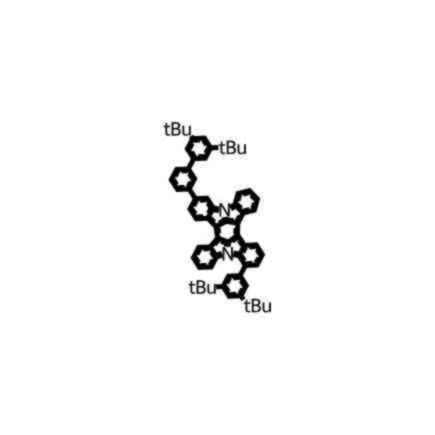 CC(C)(C)c1cc(-c2cccc(-c3ccc4c5c6c7ccccc7n7c8c(-c9cc(C(C)(C)C)cc(C(C)(C)C)c9)cccc8c(c8c9ccccc9n(c4c3)c58)c67)c2)cc(C(C)(C)C)c1